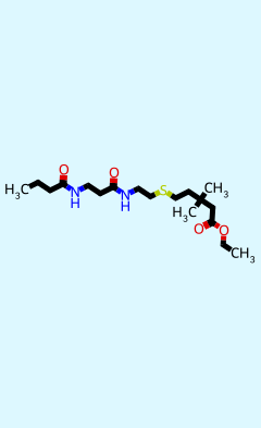 CCCC(=O)NCCC(=O)NCCSCCC(C)(C)CC(=O)OCC